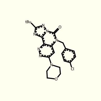 CC(C)(C)c1nc2c3nnc(N4CCOCC4)cc3n(Cc3ccc(Cl)cc3)c(=O)n2n1